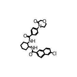 O=C(NC1CCCCC1NC(=O)c1ccc2cc(Cl)ccc2c1)c1ccc(N2CCOCC2=O)cc1